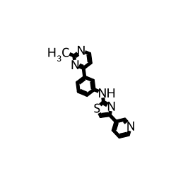 Cc1nccc(-c2cccc(Nc3nc(-c4cccnc4)cs3)c2)n1